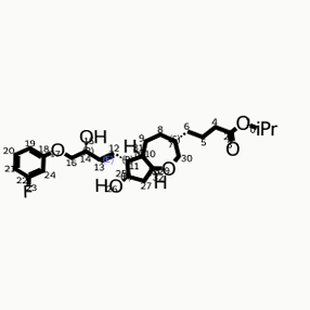 CC(C)OC(=O)CCC[C@H]1CC[C@@H]2[C@@H](/C=C/[C@@H](O)COc3cccc(F)c3)[C@H](O)C[C@@H]2OC1